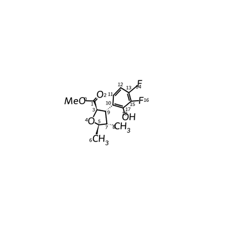 COC(=O)[C@@H]1O[C@H](C)[C@@H](C)[C@H]1c1ccc(F)c(F)c1O